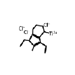 CCC1=C(C)C(CC)C2=C1[CH]([Ti+3])CCC2.[Cl-].[Cl-].[Cl-]